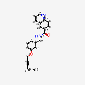 CCCCCC#CCOc1cccc(CNC(=O)c2ccc3ncccc3c2)c1